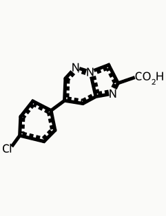 O=C(O)c1cn2ncc(-c3ccc(Cl)cc3)cc2n1